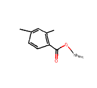 CCCCCOC(=O)c1ccc(C)cc1C